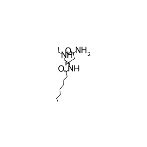 CCCCCCCC(=O)N[C@@H](CNCC)CC(N)=O